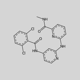 CNC(=O)c1cccc(Nc2cc(NC(=O)c3c(Cl)cccc3Cl)ccn2)n1